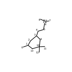 CC1CC(CCN(C)C)CC(C)(C)C1